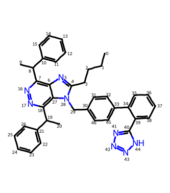 CCCCc1nc2c(C(C)c3ccccc3)nnc(C(C)c3ccccc3)c2n1Cc1ccc(-c2ccccc2-c2nnn[nH]2)cc1